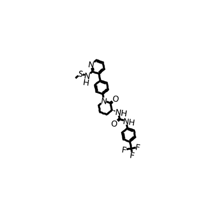 CSNc1ncccc1-c1ccc(N2CCC[C@@H](NC(=O)Nc3ccc(C(F)(F)F)cc3)C2=O)cc1